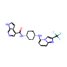 O=C(N[C@H]1CC[C@@H](Nc2cccc3nc(C(F)(F)F)cn23)CC1)c1cncc2[nH]ccc12